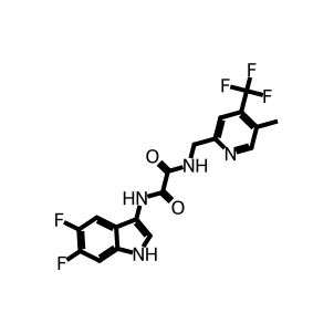 Cc1cnc(CNC(=O)C(=O)Nc2c[nH]c3cc(F)c(F)cc23)cc1C(F)(F)F